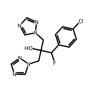 OC(Cn1cncn1)(Cn1cncn1)C(F)c1ccc(Cl)cc1